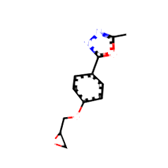 Cc1nnc(-c2ccc(OCC3CO3)cc2)o1